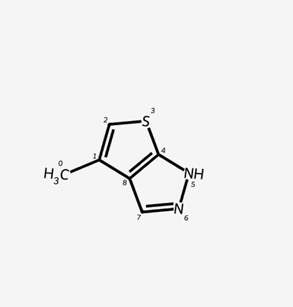 Cc1csc2[nH]ncc12